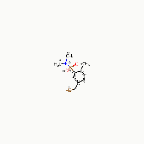 Cc1ccc(CS)cc1S(=O)(=O)N(C)C